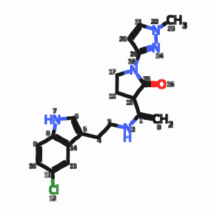 C=C(NCCc1c[nH]c2ccc(Cl)cc12)C1CCN(c2ccn(C)n2)C1=O